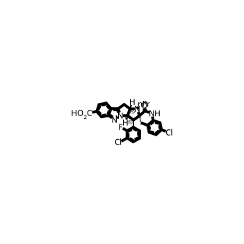 CCCN1[C@H]2Cc3c4ccc(C(=O)O)cc4nn3[C@H]2[C@H](c2cccc(Cl)c2F)[C@@]12Cc1ccc(Cl)cc1NC2=O